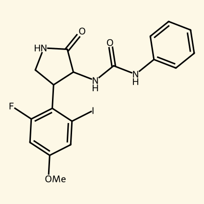 COc1cc(F)c(C2CNC(=O)C2NC(=O)Nc2ccccc2)c(I)c1